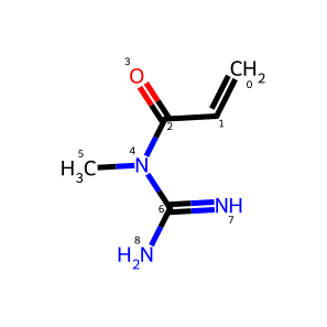 C=CC(=O)N(C)C(=N)N